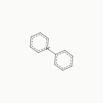 [c]1ccc(-[n+]2ccccc2)cc1